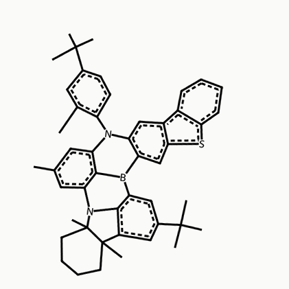 Cc1cc2c3c(c1)N1c4c(cc(C(C)(C)C)cc4C4(C)CCCCC14C)B3c1cc3sc4ccccc4c3cc1N2c1ccc(C(C)(C)C)cc1C